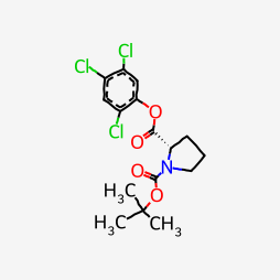 CC(C)(C)OC(=O)N1CCC[C@H]1C(=O)Oc1cc(Cl)c(Cl)cc1Cl